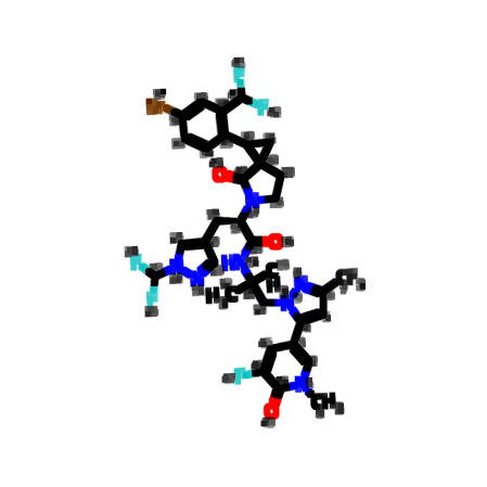 Cn1cc(-c2cc(C(F)(F)F)nn2CC(C)(C)NC(=O)[C@@H](Cc2cnn(C(F)F)c2)N2CCC3(CC3c3ccc(Br)cc3C(F)F)C2=O)cc(F)c1=O